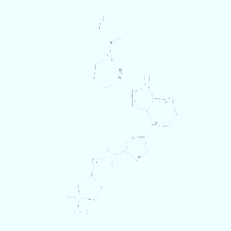 CC(C)(C)OC(=O)N1C=C(c2cc3c(-c4ccc(S(=O)(=O)NC5CCS(O)(O)C5)s4)ccnc3[nH]2)CCC1